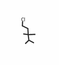 CC(C)C(C)(C)CCCl